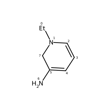 CCN1C=CC=C(N)C1